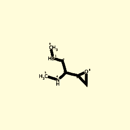 CBCC(NC)C1CO1